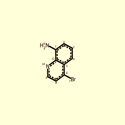 Nc1cccc2c(Br)ccnc12